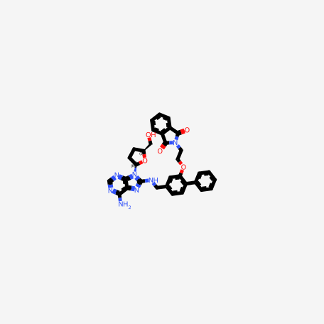 Nc1ncnc2c1nc(NCc1ccc(-c3ccccc3)c(OCCN3C(=O)c4ccccc4C3=O)c1)n2[C@H]1CC[C@@H](CO)O1